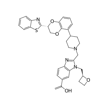 C=C(O)c1ccc2nc(CN3CCC(c4cccc5c4OC[C@H](c4nc6ccccc6s4)O5)CC3)n(C[C@@H]3CCO3)c2c1